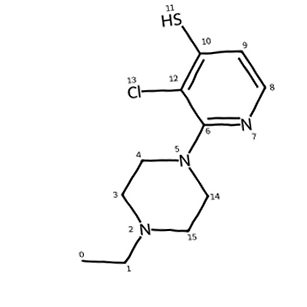 CCN1CCN(c2nccc(S)c2Cl)CC1